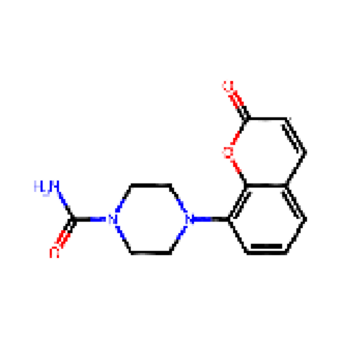 NC(=O)N1CCN(c2cccc3c[c]c(=O)oc23)CC1